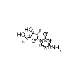 C[C@@H]1[C@H](O)[C@@H]([C@H](C)O)O[C@H]1n1ccc(N)nc1=O